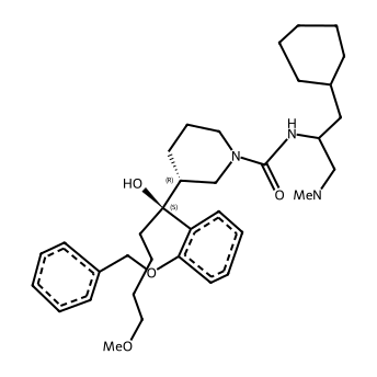 CNCC(CC1CCCCC1)NC(=O)N1CCC[C@@H]([C@@](O)(CCCCOC)c2ccccc2OCc2ccccc2)C1